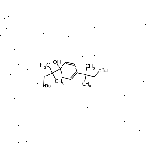 CC(C)(C)CC(C)(C)C1=CCC(O)(C(C)(C)CC(C)(C)C)C=C1